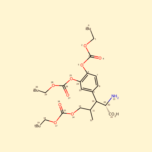 CCC(C)COC(=O)Oc1ccc(C(C(C)COC(=O)OCC(C)(C)C)[C@H](N)C(=O)O)cc1OC(=O)OCC(C)CC